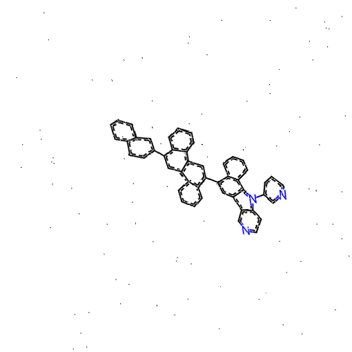 c1cncc(-n2c3ccncc3c3cc(-c4cc5c6ccccc6c(-c6ccc7ccccc7c6)cc5c5ccccc45)c4ccccc4c32)c1